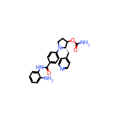 NC(=O)OC1CCN(c2ccc(C(=O)Nc3ccccc3N)cc2)[C@H]1Cc1ccncc1